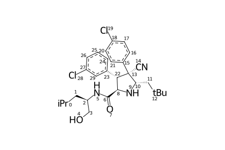 CC(C)C[C@H](CO)NC(=O)[C@@H]1N[C@@H](CC(C)(C)C)[C@](C#N)(c2ccc(Cl)cc2)[C@H]1c1cccc(Cl)c1